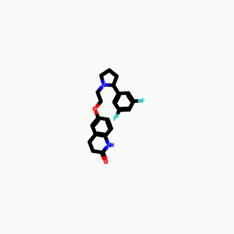 O=C1CCc2cc(OCCN3CCCC3c3cc(F)cc(F)c3)ccc2N1